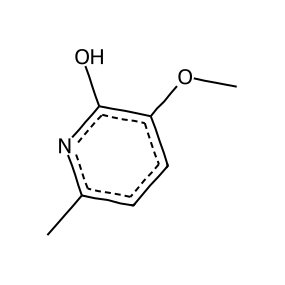 COc1ccc(C)nc1O